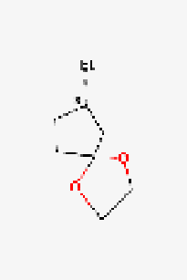 CC[C@H]1CCC2(C1)OCCO2